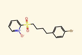 O=S(=O)(CCCCc1ccc(Br)cc1)c1cccc[n+]1[O-]